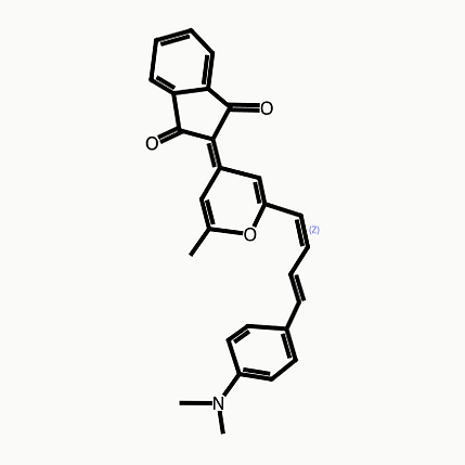 CC1=CC(=C2C(=O)c3ccccc3C2=O)C=C(/C=C\C=Cc2ccc(N(C)C)cc2)O1